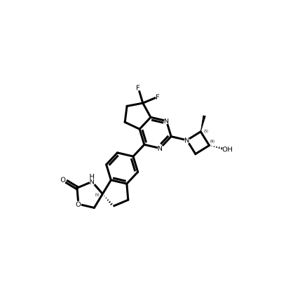 C[C@H]1[C@H](O)CN1c1nc(-c2ccc3c(c2)CC[C@@]32COC(=O)N2)c2c(n1)C(F)(F)CC2